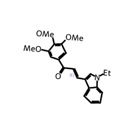 CCn1cc(/C=C/C(=O)c2cc(OC)c(OC)c(OC)c2)c2ccccc21